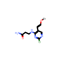 CCOC=Cc1cnc(Cl)nc1NCCC(N)=O